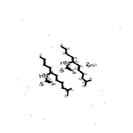 CCCCC(CCCCC(C)C)NC(=S)[S-].CCCCC(CCCCC(C)C)NC(=S)[S-].[Zn+2]